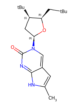 Cc1cc2cn([C@H]3C[C@@H](C(C)(C)C)[C@@H](CC(C)(C)C)O3)c(=O)nc2[nH]1